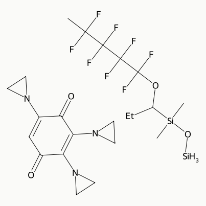 CCC(OC(F)(F)C(F)(F)C(F)(F)C(C)(F)F)[Si](C)(C)O[SiH3].O=C1C=C(N2CC2)C(=O)C(N2CC2)=C1N1CC1